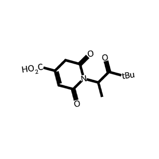 CC(C(=O)C(C)(C)C)N1C(=O)C=C(C(=O)O)CC1=O